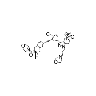 CS(=O)(=O)N1CCc2c(c(-c3ccc(Cl)c(C#Cc4ccc5c(c4)CN[C@H](C(=O)N4CCOCC4)C5)c3)nn2CCCN2CCOCC2)C1